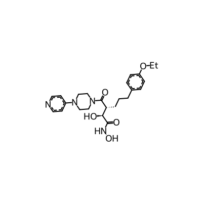 CCOc1ccc(CCC[C@@H](C(=O)N2CCN(c3ccncc3)CC2)[C@H](O)C(=O)NO)cc1